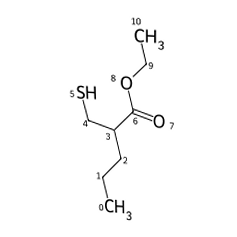 CCCC(CS)C(=O)OCC